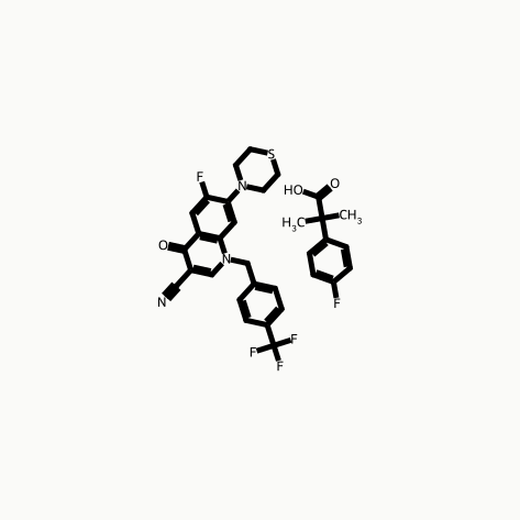 CC(C)(C(=O)O)c1ccc(F)cc1.N#Cc1cn(Cc2ccc(C(F)(F)F)cc2)c2cc(N3CCSCC3)c(F)cc2c1=O